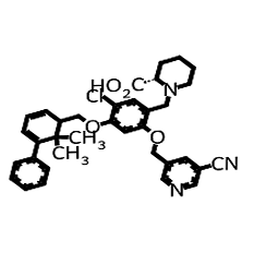 CC1(C)C(c2ccccc2)=CC=CC1COc1cc(OCc2cncc(C#N)c2)c(CN2CCCC[C@H]2C(=O)O)cc1Cl